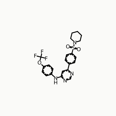 O=S(=O)(c1ccc(-c2cc(Nc3ccc(OC(F)(F)F)cc3)ncn2)cc1)N1CCCCC1